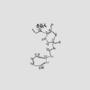 CC(=N)C1=C(C)CC(C)(CCCc2ccccc2)CC1